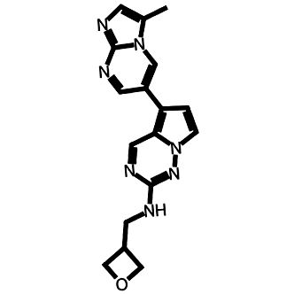 Cc1cnc2ncc(-c3ccn4nc(NCC5COC5)ncc34)cn12